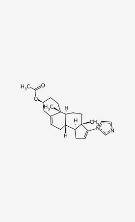 CC(=O)O[C@H]1CC[C@@]2(C)C(=CC[C@@H]3[C@@H]2CC[C@]2(C)C(n4ccnc4)=CC[C@@H]32)C1